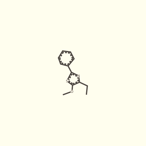 CCc1nc(-c2ccccc2)sc1OC